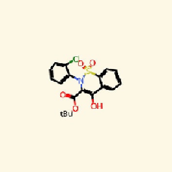 CC(C)(C)OC(=O)C1=C(O)c2ccccc2S(=O)(=O)N1c1ccccc1Cl